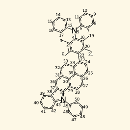 Cc1c(C)c(N(c2ccccc2)c2ccccc2)c(C)c(C)c1-c1ccc2ccc3c4c(ccc1c24)cc1c2ccccc2n(-c2ccccc2)c13